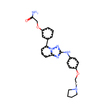 NC(=O)COc1cccc(-c2cccc3nc(Nc4ccc(OCCN5CCCC5)cc4)nn23)c1